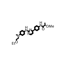 CCOCCN(C)c1ccc(Nc2nccc(-c3ccc(NC(=O)[C@@H](C)OC)cc3)n2)cc1